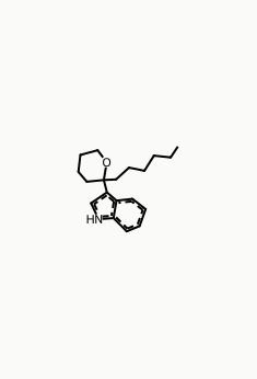 CCCCCCC1(c2c[nH]c3ccccc23)CCCCO1